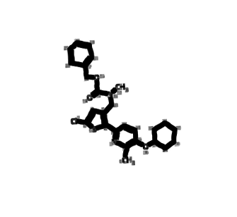 Cc1nc(-c2sc(Cl)cc2CN(C)C(=O)OCc2ccccc2)ccc1OC1CCCCC1